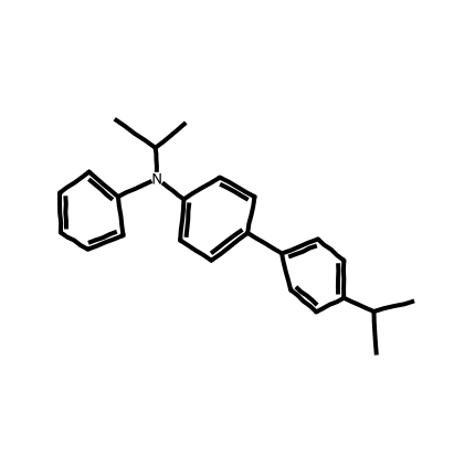 CC(C)c1ccc(-c2ccc(N(c3ccccc3)C(C)C)cc2)cc1